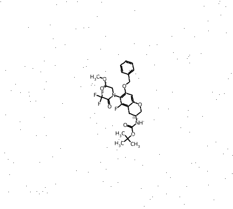 COC(=O)CN(C(=O)C(F)(F)F)c1c(OCc2ccccc2)cc2c(c1F)C[C@H](NC(=O)OC(C)(C)C)CO2